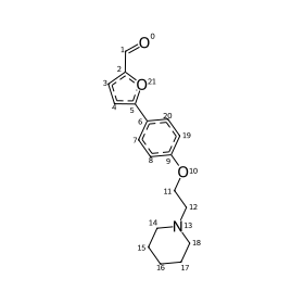 O=Cc1ccc(-c2ccc(OCCN3CCCCC3)cc2)o1